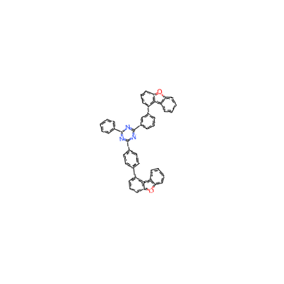 c1ccc(-c2nc(-c3ccc(-c4cccc5oc6ccccc6c45)cc3)nc(-c3cccc(-c4cccc5oc6ccccc6c45)c3)n2)cc1